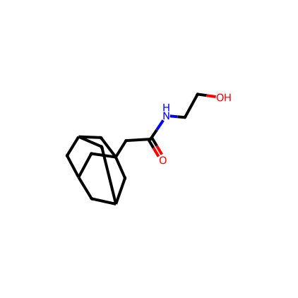 O=C(CC12CC3CC(CC(C3)C1)C2)NCCO